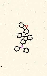 c1ccc(P(c2ccccc2)c2ccc3c(c2)-c2ccccc2C32c3ccccc3-c3c2ccc2oc4ccccc4c32)cc1